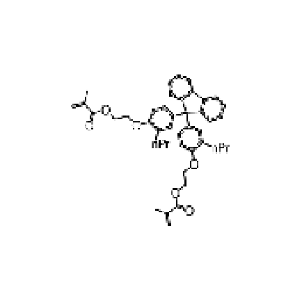 C=C(C)C(=O)OCCOc1ccc(C2(c3ccc(OCCOC(=O)C(=C)C)c(CCC)c3)c3ccccc3-c3ccccc32)cc1CCC